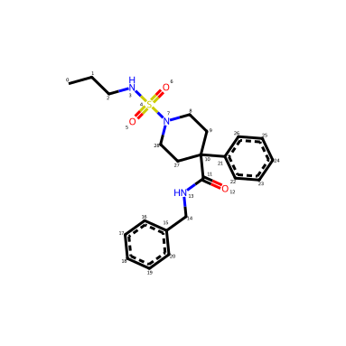 CCCNS(=O)(=O)N1CCC(C(=O)NCc2ccccc2)(c2ccccc2)CC1